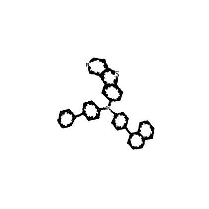 c1ccc(-c2ccc(N(c3ccc(-c4cccc5ccccc45)cc3)c3ccc4sc5ccncc5c4c3)cc2)cc1